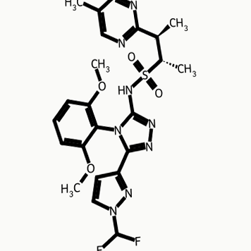 COc1cccc(OC)c1-n1c(NS(=O)(=O)[C@@H](C)[C@H](C)c2ncc(C)cn2)nnc1-c1ccn(C(F)F)n1